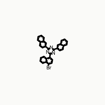 Brc1ccc(-c2nc(-c3ccc4ccccc4c3)nc(-c3ccc4ccccc4c3)n2)c2ccccc12